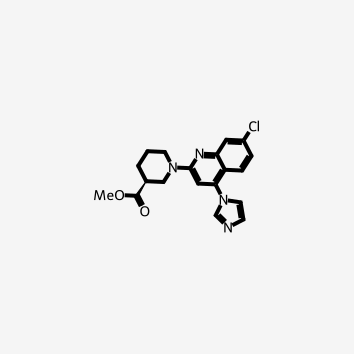 COC(=O)[C@H]1CCCN(c2cc(-n3ccnc3)c3ccc(Cl)cc3n2)C1